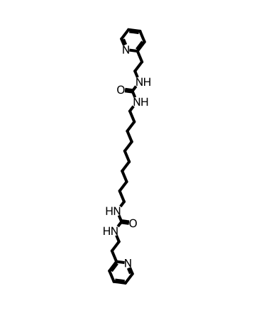 O=C(NCCCCCCCCCCNC(=O)NCCc1ccccn1)NCCc1ccccn1